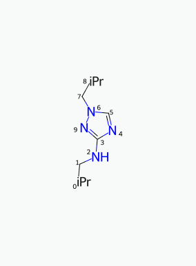 CC(C)CNc1ncn(CC(C)C)n1